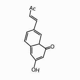 CC(=O)/C=C/C1=CC2C(=O)C=C(O)C=C2C=C1